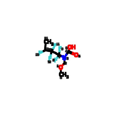 COCN(C(=O)O)C(F)(F)C(F)(F)C(C)F